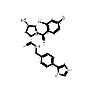 O=C(NCc1ccc(-c2cnco2)cc1)[C@@H]1C[C@@H](O)CN1C(=O)c1ccc(Cl)cc1Br